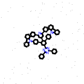 c1ccc(-c2cc(-c3c(-c4ccc(-n5c6ccccc6c6ccccc65)cc4)cc(-c4nc(-c5ccccc5)nc(-c5ccccc5)n4)cc3-c3ccc(-n4c5ccccc5c5ccccc54)cc3)cc(-c3ccccc3)n2)cc1